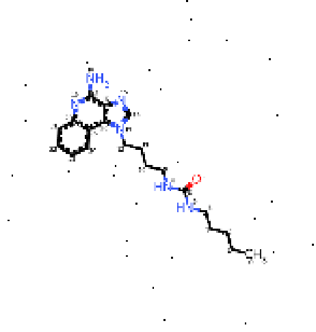 CCCCCNC(=O)NCCCCn1cnc2c(N)nc3ccccc3c21